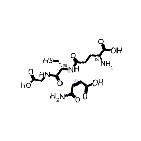 NC(=O)/C=C\C(=O)O.N[C@@H](CCC(=O)N[C@@H](CS)C(=O)NCC(=O)O)C(=O)O